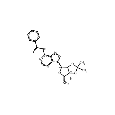 C=C1O[C@@H](n2cnc3c(NC(=O)c4ccccc4)ncnc32)C2OC(C)(C)O[C@@H]12